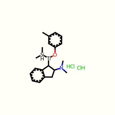 Cc1cccc([O][Ti]([CH]2c3ccccc3CC2N(C)C)[SiH](C)C)c1.Cl.Cl